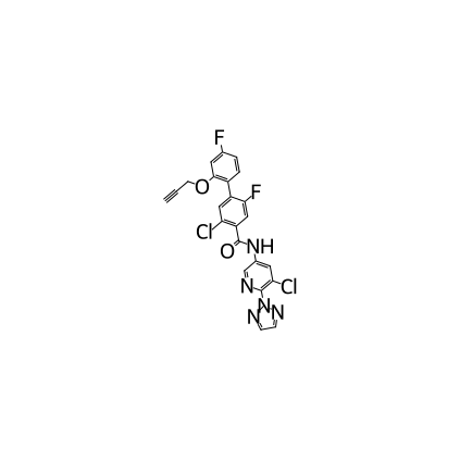 C#CCOc1cc(F)ccc1-c1cc(Cl)c(C(=O)Nc2cnc(-n3nccn3)c(Cl)c2)cc1F